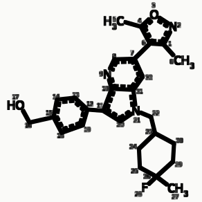 Cc1noc(C)c1-c1cnc2c(-c3ccc(CO)cc3)cn(CC3CCC(C)(F)CC3)c2c1